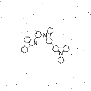 c1ccc(-n2c3ccccc3c3cc(-c4ccc5c(c4)c4ccccc4n5-c4cccc(-c5ncc6c7c(cccc57)-c5ccccc5-6)c4)ccc32)cc1